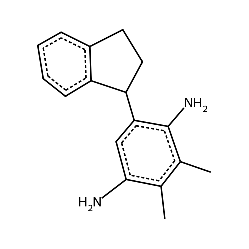 Cc1c(N)cc(C2CCc3ccccc32)c(N)c1C